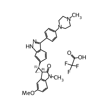 COc1ccc2c(c1)[C@]1(C[C@H]1c1ccc3c(-c4ccc(N5CCN(C)CC5)cc4)n[nH]c3c1)C(=O)N2C.O=C(O)C(F)(F)F